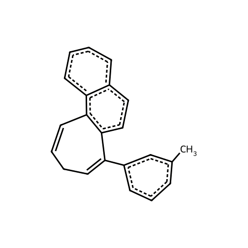 Cc1cccc(C2=CCC=Cc3c2ccc2ccccc32)c1